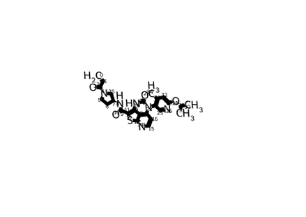 C=CC(=O)N1CC[C@@H](NC(=O)c2sc3nccc4c3c2NC(=O)N4c2cnc(OC(C)C)cc2C)C1